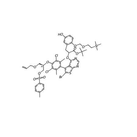 C=CCOC[C@H](COS(=O)(=O)c1ccc(C)cc1)Oc1c(Cl)c(C)c(-c2c(Br)sc3ncnc(OC(Cc4cc(O)ccc4OCOCC[Si](C)(C)C)C(=O)OC(C)(C)C)c23)c(C)c1Cl